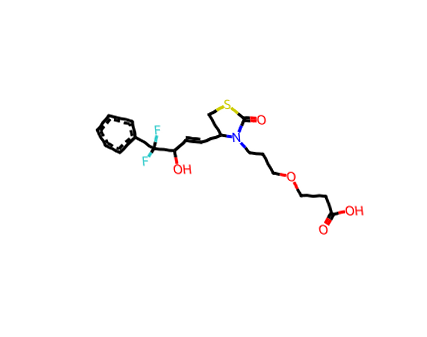 O=C(O)CCOCCCN1C(=O)SCC1C=CC(O)C(F)(F)c1ccccc1